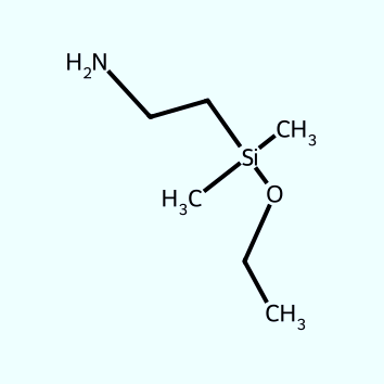 CCO[Si](C)(C)CCN